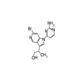 CC(CO)c1cn(-c2ccnc(N)n2)c2cc(Br)ncc12